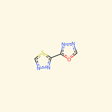 c1nnc(-c2nncs2)o1